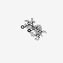 CCCCC(NC(=O)[C@H](CC(C)C)NC(=O)[C@@H](NC(=O)[C@H](Cc1ccccc1C)NC(=O)[C@H](CCC(=O)O)NC(=O)[C@H](CC(=O)O)NC(=O)CC1CCCCC1)C(C)(C)C)C(=O)C(N)=O